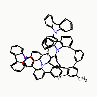 Cc1cc(C)c2c(c1)-c1cccc(c1)-c1cccc(-c3ccccc3)c1N1c3cc(-n4c5ccccc5c5ccccc54)ccc3B3c4ccc(-n5c6ccccc6c6ccccc65)cc4N(c4c(-c5ccccc5)cccc4-c4ccccc4)c4cc-2cc1c43